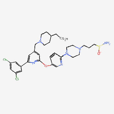 N[S+]([O-])CCCN1CCN(c2ccc(Oc3cc(CN4CCC(CC(=O)O)CC4)cc(-c4cc(Cl)cc(Cl)c4)n3)cn2)CC1